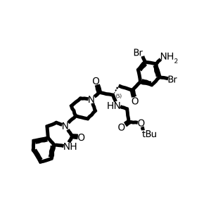 CC(C)(C)OC(=O)CN[C@@H](CC(=O)c1cc(Br)c(N)c(Br)c1)C(=O)N1CCC(N2CCc3ccccc3NC2=O)CC1